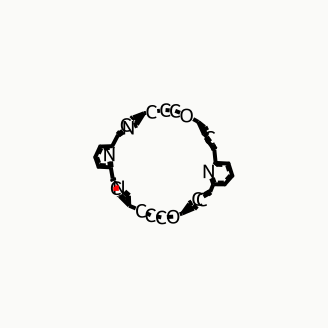 c1cc2nc(c1)-c1ccc(cc1)OCCCc1ccc(nc1)-c1cccc(n1)-c1ccc(cn1)CCCOc1ccc-2cc1